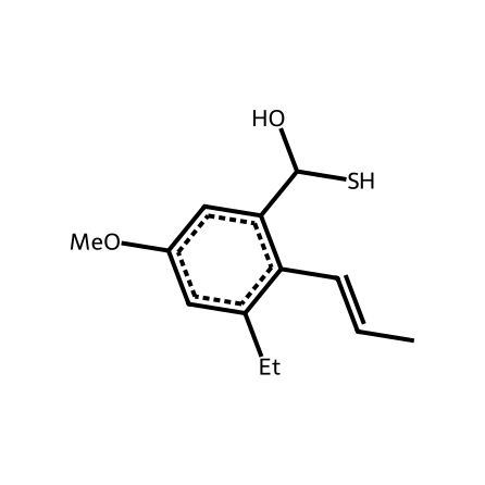 C/C=C/c1c(CC)cc(OC)cc1C(O)S